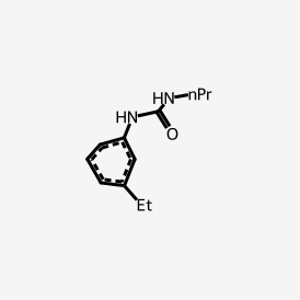 [CH2]Cc1cccc(NC(=O)NCCC)c1